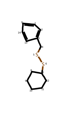 c1ccc(CSSC2CCCCC2)cc1